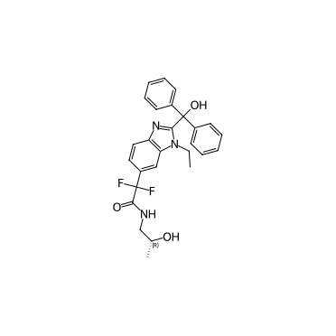 CCn1c(C(O)(c2ccccc2)c2ccccc2)nc2ccc(C(F)(F)C(=O)NC[C@@H](C)O)cc21